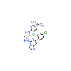 CC(CNc1ccc([N+](=O)[O-])c(N)n1)Nc1nc(-c2ccc(Cl)cc2Cl)cc2nccn12